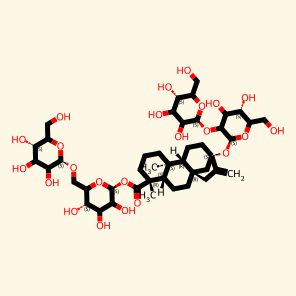 C=C1C[C@@]23CC[C@H]4[C@@](C)(CCC[C@@]4(C)C(=O)O[C@@H]4OC(CO[C@H]5OC(CO)[C@@H](O)C(O)C5O)[C@@H](O)C(O)C4O)[C@@H]2CC[C@]1(O[C@@H]1OC(CO)[C@@H](O)C(O)C1O[C@@H]1OC(CO)[C@@H](O)C(O)C1O)C3